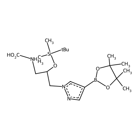 CC1(C)OB(c2cnn(CC(CNC(=O)O)O[Si](C)(C)C(C)(C)C)c2)OC1(C)C